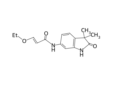 CCOC=CC(=O)Nc1ccc2c(c1)NC(=O)C2(C)C